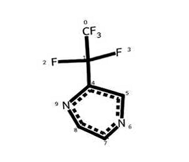 FC(F)(F)C(F)(F)c1cn[c]cn1